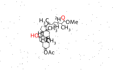 [2H]C([2H])(CC[C@@H](C)[C@H]1CC[C@H]2[C@@H]3[C@H](O)C=C4C[C@@H](OC(C)=O)CC[C@]4(C)[C@H]3CC[C@]12C)C(C)C(=O)OC